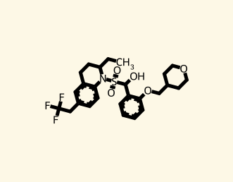 CCC1CCc2cc(CC(F)(F)F)ccc2N1S(=O)(=O)C(O)c1ccccc1OCC1CCOCC1